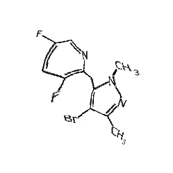 Cc1nn(C)c(-c2ncc(F)cc2F)c1Br